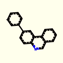 [c]1cccc(-c2ccc3ncc4ccccc4c3c2)c1